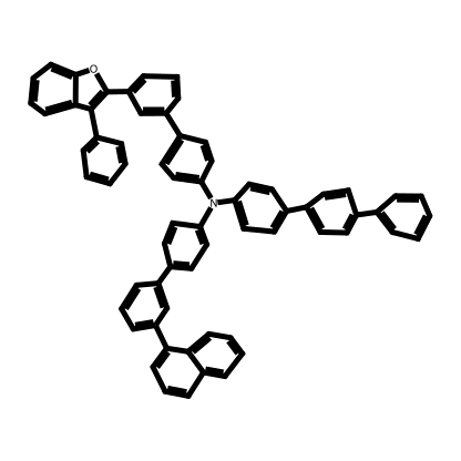 c1ccc(-c2ccc(-c3ccc(N(c4ccc(-c5cccc(-c6oc7ccccc7c6-c6ccccc6)c5)cc4)c4ccc(-c5cccc(-c6cccc7ccccc67)c5)cc4)cc3)cc2)cc1